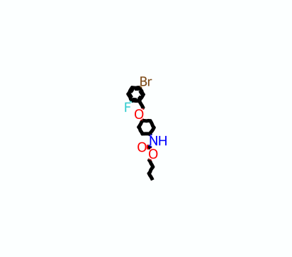 CCCCOC(=O)NC1CCC(OCc2cc(Br)ccc2F)CC1